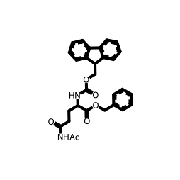 CC(=O)NC(=O)CCC(NC(=O)OCC1c2ccccc2-c2ccccc21)C(=O)OCc1ccccc1